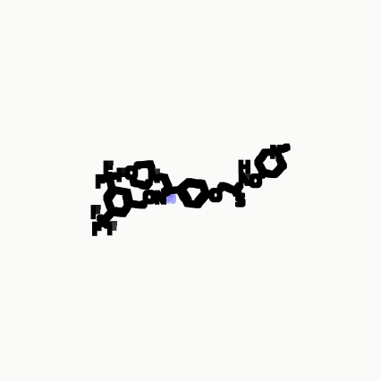 CN1CCC(ONC(=S)COc2ccc(/C(CN3CCOCC3)=N/OCc3cc(C(F)(F)F)cc(C(F)(F)F)c3)cc2)CC1